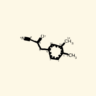 Cc1ccc(CC(=O)C#N)cc1C